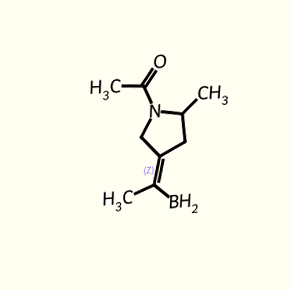 B/C(C)=C1\CC(C)N(C(C)=O)C1